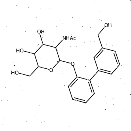 CC(=O)NC1C(Oc2ccccc2-c2cccc(CO)c2)OC(CO)C(O)C1O